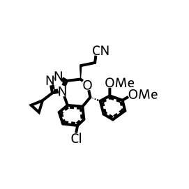 COc1cccc([C@H]2O[C@H](CCC#N)c3nnc(C4CC4)n3-c3ccc(Cl)cc32)c1OC